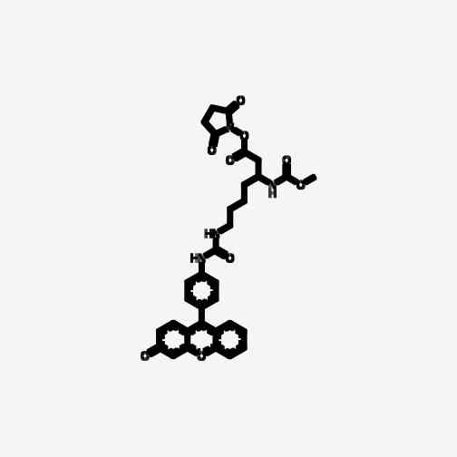 COC(=O)NC(CCCCNC(=O)Nc1ccc(-c2c3ccc(=O)cc-3oc3ccccc23)cc1)CC(=O)ON1C(=O)CCC1=O